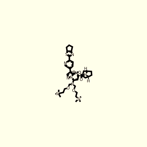 CC(C)(C)OC(=O)N1[C@@H]2CC[C@H]1C[C@H](c1cc(N(COCC[Si](C)(C)C)COCC[Si](C)(C)C)n3ncc(-c4ccc(-c5nc6c(s5)CCC6)nc4)c3n1)C2